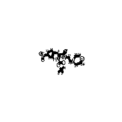 CC(C)(C)OC(=O)N[C@H](Cc1ccc([N+](=O)[O-])cc1)C(=O)NCCN1CCOCC1